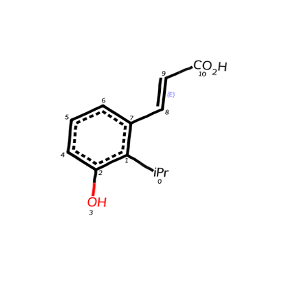 CC(C)c1c(O)cccc1/C=C/C(=O)O